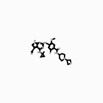 COc1cc(C(=O)NC2CCN(C3COC3)CC2)c(F)cc1Nc1nc(NC2(C)CC2)c2c(C#N)c[nH]c2n1